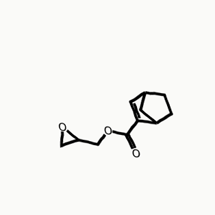 O=C(OCC1CO1)C1=CC2CCC1C2